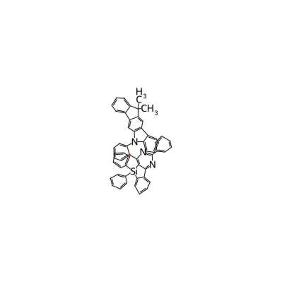 CC1(C)c2ccccc2-c2cc3c(cc21)c1ccccc1n3-c1ccccc1-c1nc(-c2ccccc2)nc2c1[Si](c1ccccc1)(c1ccccc1)c1ccccc1-2